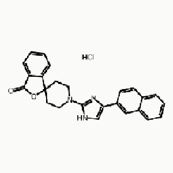 Cl.O=C1OC2(CCN(c3nc(-c4ccc5ccccc5c4)c[nH]3)CC2)c2ccccc21